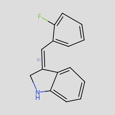 Fc1ccccc1/C=C1/CNc2ccccc21